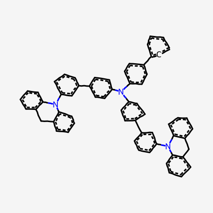 c1ccc(-c2ccc(N(c3ccc(-c4cccc(N5c6ccccc6Cc6ccccc65)c4)cc3)c3ccc(-c4cccc(N5c6ccccc6Cc6ccccc65)c4)cc3)cc2)cc1